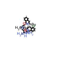 CCCCc1cc2ccccc2c(OCC[N+](C)(C)CC2OC(N)(N3CCCc4c(Cl)cccc4C3)NC2N)n1